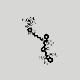 CC[N+]1=C(/C=C/C2=C(Cl)C(=C/C=C3/N(CCCCCC(=O)Nc4ccc(NC(=O)OC(C)(C)C)cc4)c4ccccc4C3(C)C)/CCC2)C(C)(C)c2ccccc21